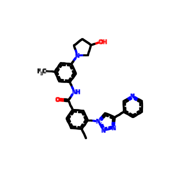 Cc1ccc(C(=O)Nc2cc(N3CCC(O)C3)cc(C(F)(F)F)c2)cc1-n1cc(-c2cccnc2)nn1